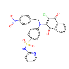 O=C1C(Cl)=C(N(Cc2ccc([N+](=O)[O-])cc2)c2ccc(S(=O)(=O)Nc3ccccn3)cc2)C(=O)c2ccccc21